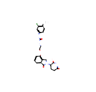 Cc1ccc(NC(=O)NCCOc2cccc3c2CN(C2CCC(=O)NC2=O)C3=O)cc1Cl